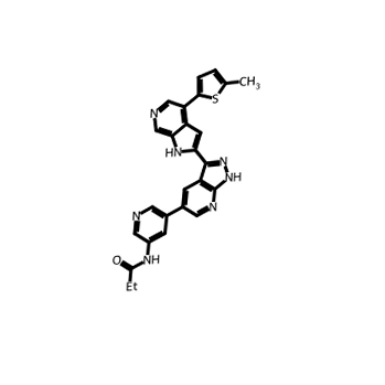 CCC(=O)Nc1cncc(-c2cnc3[nH]nc(-c4cc5c(-c6ccc(C)s6)cncc5[nH]4)c3c2)c1